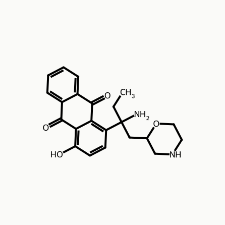 CCC(N)(CC1CNCCO1)c1ccc(O)c2c1C(=O)c1ccccc1C2=O